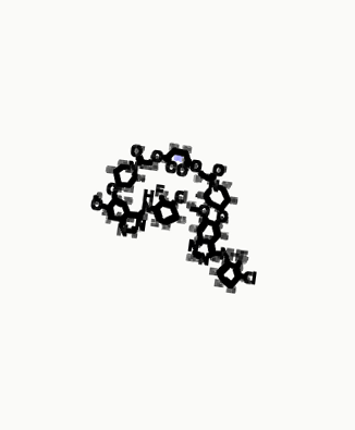 COc1cc2ncnc(Nc3cccc(Cl)c3F)c2cc1OC1CCN(C(=O)COC(=O)/C=C\C(=O)OCC(=O)N2CCC(Oc3cc4c(Nc5cccc(Cl)c5F)ncnc4cc3OC)CC2)CC1